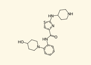 O=C(Nc1ccccc1N1CCC(O)CC1)c1csc(NC2CCNCC2)n1